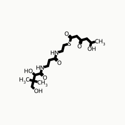 CC(O)CC(=O)CC(=O)SCCNC(=O)CCNC(=O)C(O)C(C)(C)CO